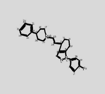 Fc1ccc(-n2ncc3c2CCCC3CCN2CCC(c3ccccc3)CC2)cc1